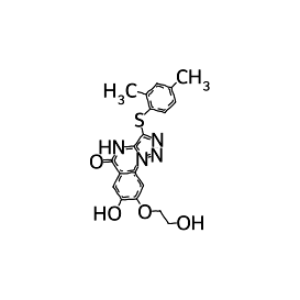 Cc1ccc(Sc2nnn3c2[nH]c(=O)c2cc(O)c(OCCO)cc23)c(C)c1